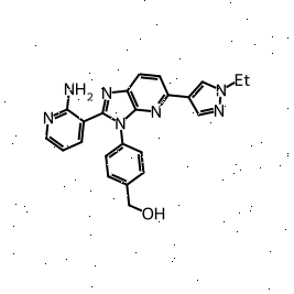 CCn1cc(-c2ccc3nc(-c4cccnc4N)n(-c4ccc(CO)cc4)c3n2)cn1